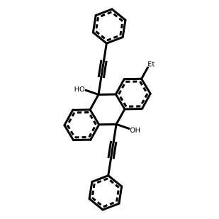 CCc1ccc2c(c1)C(O)(C#Cc1ccccc1)c1ccccc1C2(O)C#Cc1ccccc1